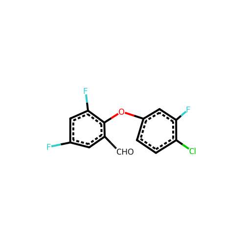 O=Cc1cc(F)cc(F)c1Oc1ccc(Cl)c(F)c1